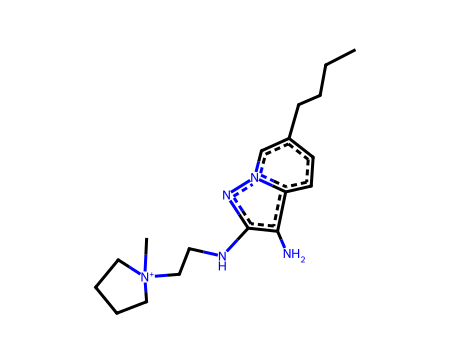 CCCCc1ccc2c(N)c(NCC[N+]3(C)CCCC3)nn2c1